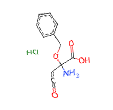 Cl.NC(C=C=O)(OCc1ccccc1)C(=O)O